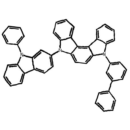 c1ccc(-c2cccc(-n3c4ccccc4c4c5c6ccccc6n(-c6ccc7c8ccccc8n(-c8ccccc8)c7c6)c5ccc43)c2)cc1